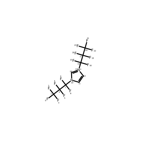 FC(F)(F)C(F)(F)C(F)(F)n1cc[n+](C(F)(F)C(F)(F)C(F)(F)F)c1